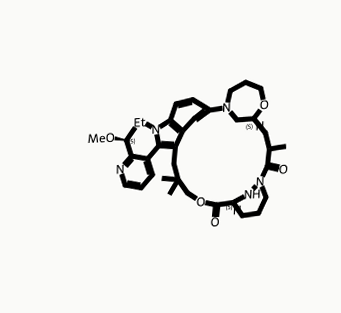 CCn1c(-c2cccnc2[C@H](C)OC)c2c3cc(ccc31)N1CCCO[C@@H](CC(C)C(=O)N3CCC[C@H](N3)C(=O)OCC(C)(C)C2)C1